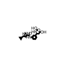 O=C(O)NC(CCO)c1cccc(NC(=O)c2cc(C3CC3)n[nH]2)c1